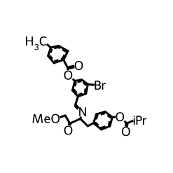 COCC(=O)C(Cc1ccc(OC(=O)C(C)C)cc1)N=Cc1cc(Br)cc(OC(=O)c2ccc(C)cc2)c1